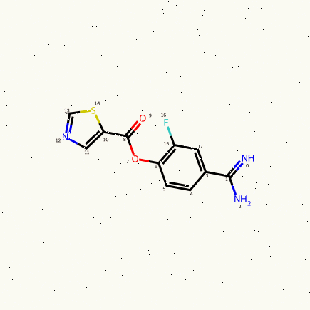 N=C(N)c1ccc(OC(=O)c2cn[c]s2)c(F)c1